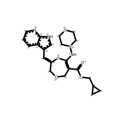 O=C(OCC1CC1)C1=C(NN2CCOCC2)O/C(=C\c2c[nH]c3ncccc23)COC1